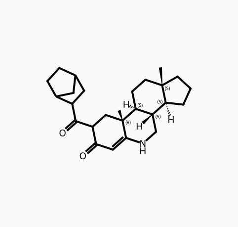 C[C@@]12CCC[C@H]1[C@@H]1CNC3=CC(=O)C(C(=O)C4CC5CCC4C5)C[C@]3(C)[C@H]1CC2